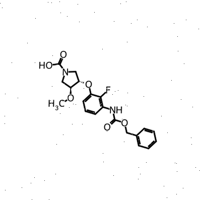 CO[C@H]1CN(C(=O)O)C[C@@H]1Oc1cccc(NC(=O)OCc2ccccc2)c1F